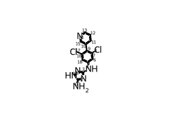 Nc1nc(Nc2cc(Cl)c(-c3cccnc3)c(Cl)c2)n[nH]1